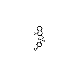 Cc1ccc(S(=O)(=O)OC2Cc3ccccc3[S+]([O-])C2)cc1